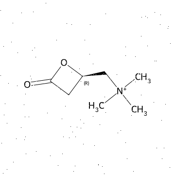 C[N+](C)(C)C[C@H]1CC(=O)O1